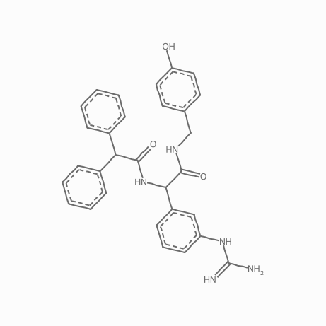 N=C(N)Nc1cccc(C(NC(=O)C(c2ccccc2)c2ccccc2)C(=O)NCc2ccc(O)cc2)c1